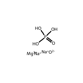 O=P(O)(O)O.[Mg+2].[Na+].[Na+].[O-2]